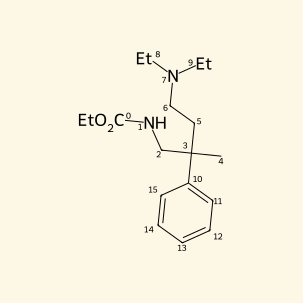 CCOC(=O)NCC(C)(CCN(CC)CC)c1ccccc1